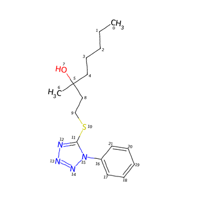 CCCCCC(C)(O)CCSc1nnnn1-c1ccccc1